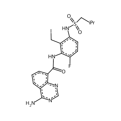 CC(C)CS(=O)(=O)Nc1ccc(F)c(NC(=O)c2cccc3c(N)ncnc23)c1CI